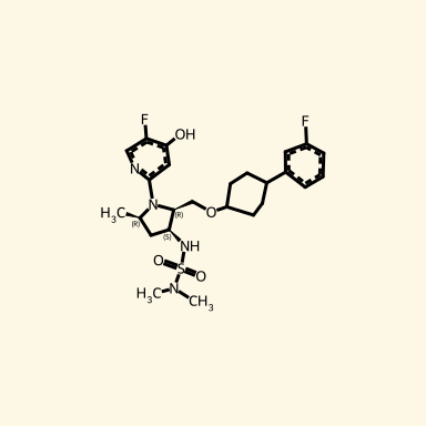 C[C@@H]1C[C@H](NS(=O)(=O)N(C)C)[C@H](COC2CCC(c3cccc(F)c3)CC2)N1c1cc(O)c(F)cn1